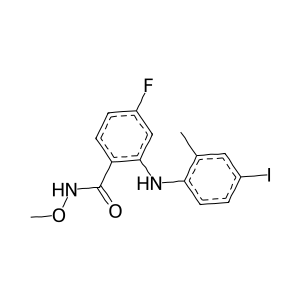 CONC(=O)c1ccc(F)cc1Nc1ccc(I)cc1C